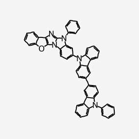 c1ccc(-n2c3ccccc3c3cc(-c4ccc5c(c4)c4ccccc4n5-c4ccc5c(c4)n(-c4ccccc4)c4nc6c7ccccc7oc6n54)ccc32)cc1